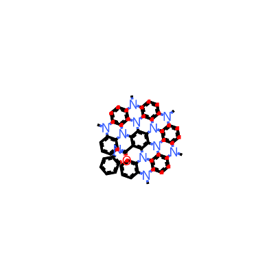 CN1c2ccccc2N(c2c(-c3nc4ccccc4o3)c(N3c4ccccc4N(C)c4ccccc43)c(N3c4ccccc4N(C)c4ccccc43)c(N3c4ccccc4N(C)c4ccccc43)c2N2c3ccccc3N(C)c3ccccc32)c2ccccc21